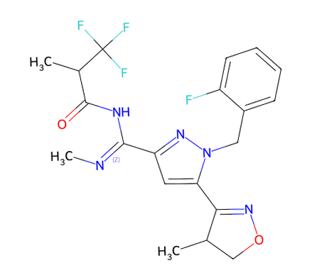 C/N=C(\NC(=O)C(C)C(F)(F)F)c1cc(C2=NOCC2C)n(Cc2ccccc2F)n1